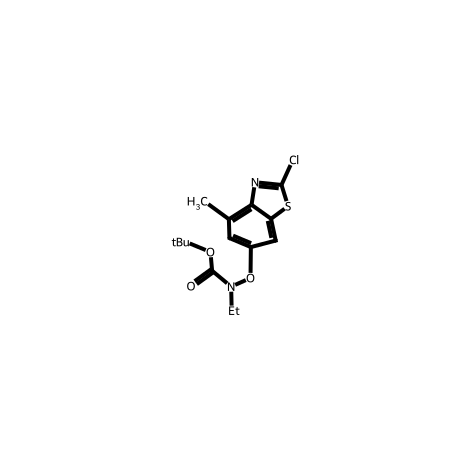 CCN(Oc1cc(C)c2nc(Cl)sc2c1)C(=O)OC(C)(C)C